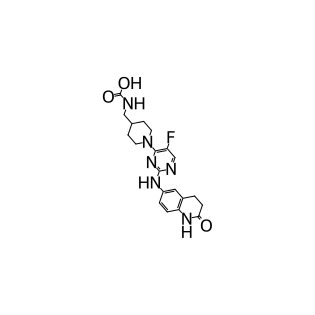 O=C(O)NCC1CCN(c2nc(Nc3ccc4c(c3)CCC(=O)N4)ncc2F)CC1